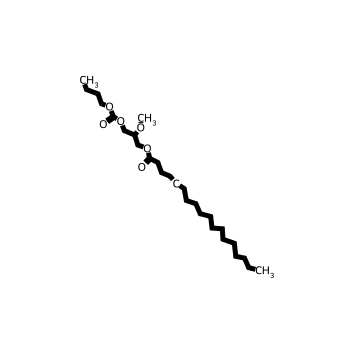 CCCCCCCCCCCCCCCCCC(=O)OCC(COC(=O)OCCCC)OC